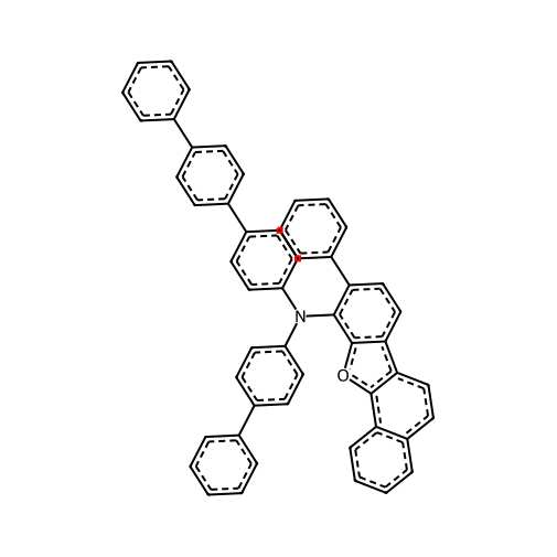 c1ccc(-c2ccc(-c3ccc(N(c4ccc(-c5ccccc5)cc4)c4c(-c5ccccc5)ccc5c4oc4c6ccccc6ccc54)cc3)cc2)cc1